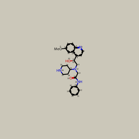 COc1ccc2nccc([C@H](O)CN(CC(=O)Nc3ccccc3)C3CCNCC3)c2c1